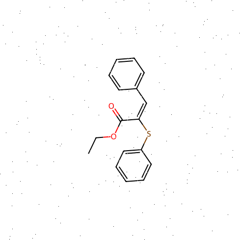 CCOC(=O)/C(=C\c1ccccc1)Sc1ccccc1